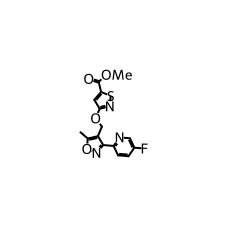 COC(=O)c1cc(OCc2c(-c3ccc(F)cn3)noc2C)ns1